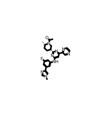 CC(=O)N1C[C@H](c2nc(Nc3cc(F)cc(-c4cn(C)cn4)c3)cc(-c3cnccn3)n2)CC[C@@H]1C